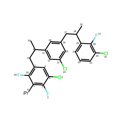 CC(C)c1c(F)c(Cl)cc(CC(C)c2cc(Cl)cc(CC(C)c3cccc(Cl)c3F)c2)c1F